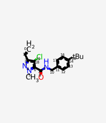 C=Cc1nn(C)c(C(=O)NCc2ccc(C(C)(C)C)cc2)c1Cl